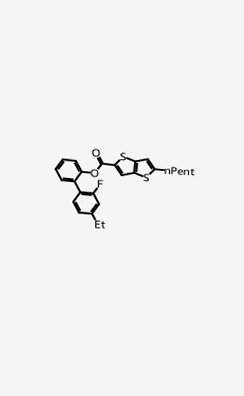 CCCCCc1cc2sc(C(=O)Oc3ccccc3-c3ccc(CC)cc3F)cc2s1